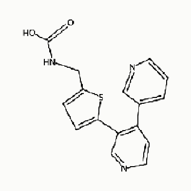 O=C(O)NCc1ccc(-c2cnccc2-c2cccnc2)s1